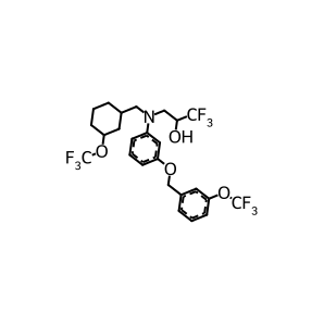 OC(CN(CC1CCCC(OC(F)(F)F)C1)c1cccc(OCc2cccc(OC(F)(F)F)c2)c1)C(F)(F)F